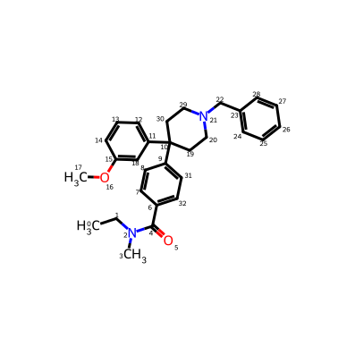 CCN(C)C(=O)c1ccc(C2(c3cccc(OC)c3)CCN(Cc3ccccc3)CC2)cc1